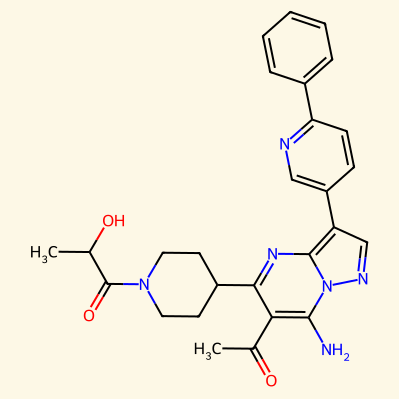 CC(=O)c1c(C2CCN(C(=O)C(C)O)CC2)nc2c(-c3ccc(-c4ccccc4)nc3)cnn2c1N